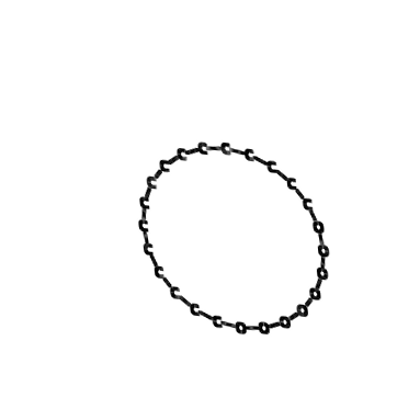 C1CCCCCCCCOOOOOOOOCCCCCCC1